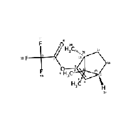 CC1(C)[C@H]2C=C(OC(=O)C(F)(F)F)[C@@]1(C)CC2